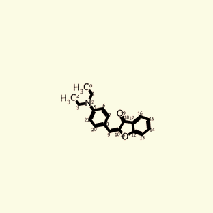 CCN(CC)c1ccc(/C=C2/Oc3ccccc3C2=O)cc1